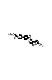 COCC(=O)N1CCN(c2ccc(Nc3ncc(F)c(-c4cnc(C)n4C(C)C)n3)cc2)CC1